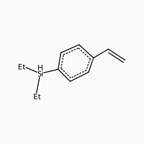 C=Cc1ccc([SiH](CC)CC)cc1